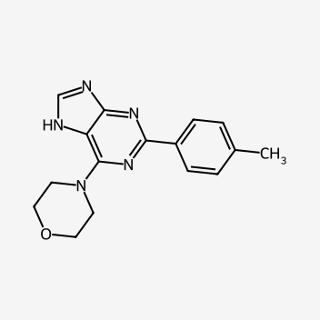 Cc1ccc(-c2nc(N3CCOCC3)c3[nH]cnc3n2)cc1